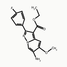 CCOC(=O)c1c(-c2ccc(F)cc2)nn2cc(N)c(OC)cc12